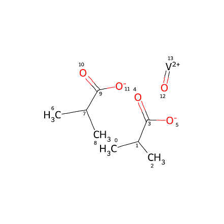 CC(C)C(=O)[O-].CC(C)C(=O)[O-].[O]=[V+2]